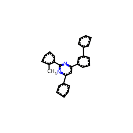 Cc1ccccc1-c1nc(-c2ccccc2)cc(-c2cccc(-c3ccccc3)c2)n1